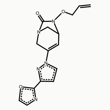 C=CCON1C(=O)N2CC(n3ccc(-c4ncco4)n3)=CC1C2